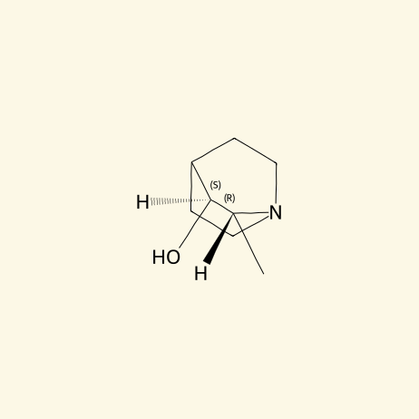 C[C@@H]1[C@@H](O)C2CCN1CC2